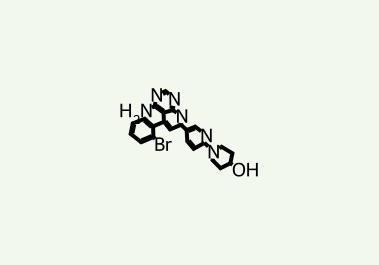 Nc1ncnc2nc(-c3ccc(N4CCC(O)CC4)nc3)cc(-c3ccccc3Br)c12